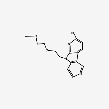 COCCOCCn1c2ccncc2c2ccc(Br)nc21